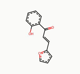 O=C(C=Cc1ccco1)c1ccccc1O